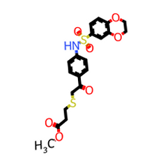 COC(=O)CCSCC(=O)c1ccc(NS(=O)(=O)c2ccc3c(c2)OCCO3)cc1